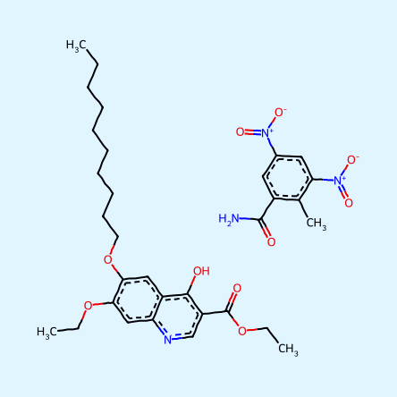 CCCCCCCCCCOc1cc2c(O)c(C(=O)OCC)cnc2cc1OCC.Cc1c(C(N)=O)cc([N+](=O)[O-])cc1[N+](=O)[O-]